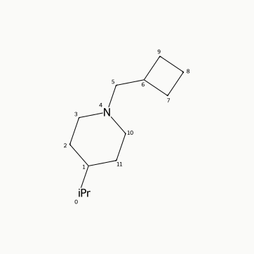 CC(C)C1CCN(CC2CCC2)CC1